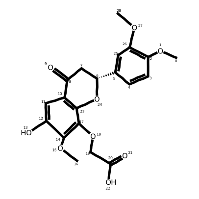 COc1ccc([C@H]2CC(=O)c3cc(O)c(OC)c(OCC(=O)O)c3O2)cc1OC